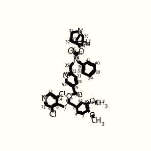 COc1ccc([C@H](Cc2c(Cl)cncc2Cl)OC(=O)c2ccc(CN(C(=O)O[C@H]3CN4CCC3CC4)c3ccccc3)nc2)cc1OC